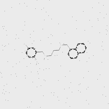 COc1ccc(Br)cc1CN(C)CCCN(C)Cc1cccc2ccccc12